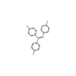 Cc1ccc([C]=C(c2ccc(C)cc2)c2ccc(C)cc2)cc1